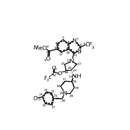 COC(=O)c1ccc2nc(C(F)(F)F)nc(N3C[C@H](NC4CCN(Cc5ccc(Cl)cc5)CC4)[C@@H](OC(=O)C(F)(F)F)C3)c2c1